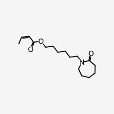 C/C=C\C(=O)OCCCCCCN1CCCCCC1=O